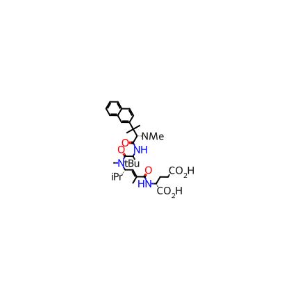 CN[C@H](C(=O)NC(C(=O)N(C)[C@H](/C=C(\C)C(=O)N[C@H](CCC(=O)O)C(=O)O)C(C)C)C(C)(C)C)C(C)(C)c1ccc2ccccc2c1